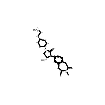 CC1Cc2ccc(N3CCN([C@H]4CC[C@H](CCC(=O)O)CC4)C3=O)cc2CC(C)N1C.Cl